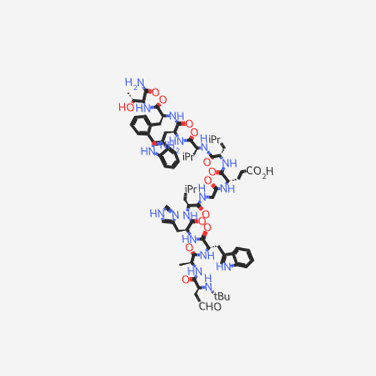 CC(C)C[C@H](NC(=O)[C@H](Cc1c[nH]cn1)NC(=O)[C@H](Cc1c[nH]c2ccccc12)NC(=O)[C@H](C)NC(=O)[C@H](CC=O)NC(C)(C)C)C(=O)NCC(=O)N[C@@H](CCC(=O)O)C(=O)N[C@@H](CC(C)C)C(=O)N[C@H](C(=O)N[C@@H](Cc1c[nH]c2ccccc12)C(=O)N[C@@H](Cc1ccccc1CN)C(=O)N[C@H](C(N)=O)[C@@H](C)O)C(C)C